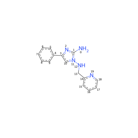 Nc1nc(-c2ccccc2)cn1NCc1ccccn1